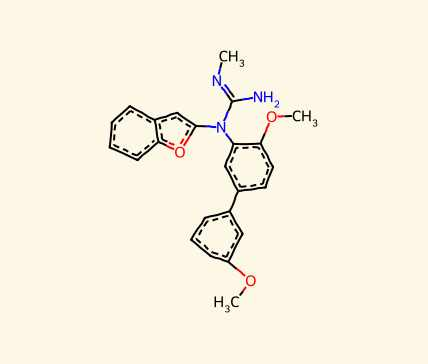 CN=C(N)N(c1cc2ccccc2o1)c1cc(-c2cccc(OC)c2)ccc1OC